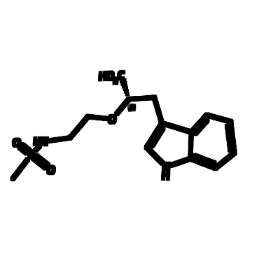 CS(=O)(=O)NCCO[C@@H](Cc1c[nH]c2ccccc12)C(=O)O